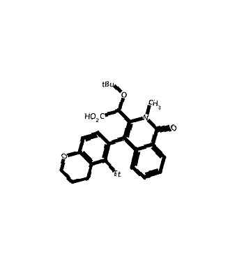 CCc1c(-c2c(C(OC(C)(C)C)C(=O)O)n(C)c(=O)c3ccccc23)ccc2c1CCCO2